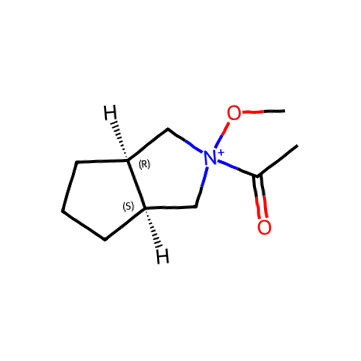 CO[N+]1(C(C)=O)C[C@H]2CCC[C@H]2C1